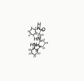 O=C1Nc2ccccc2/C1=C\NC1CCCc2c1[nH]c1ccccc21